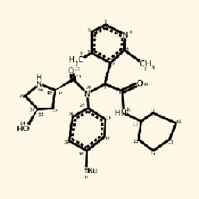 Cc1ccnc(C)c1C(C(=O)NC1CCCCC1)N(C(=O)[C@H]1C[C@@H](O)CN1)c1ccc(C(C)(C)C)cc1